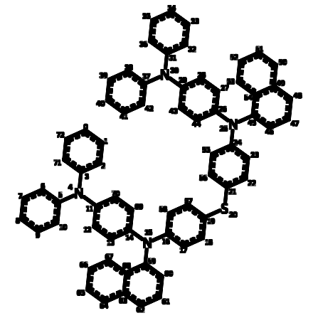 c1ccc(N(c2ccccc2)c2ccc(N(c3ccc(Sc4ccc(N(c5ccc(N(c6ccccc6)c6ccccc6)cc5)c5cccc6ccccc56)cc4)cc3)c3cccc4ccccc34)cc2)cc1